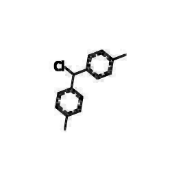 Cc1ccc(C(Cl)c2ccc(C)cc2)cc1